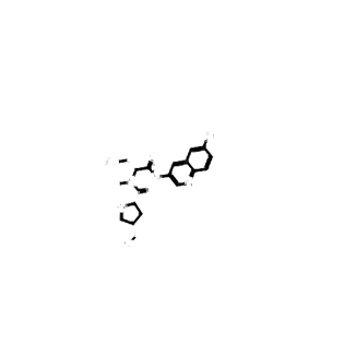 CCc1ccc2ncc(NC(=O)[C@@H](CC(C)C)N(C)C(=O)[C@@H]3C[C@H](CN)CN3)cc2c1